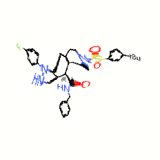 CC(C)(C)c1ccc(S(=O)(=O)N2CCC3=C(C2)[C@@H](C(=O)NCc2ccccc2)C2=CNN(c4ccc(F)cc4)C2=C3)cc1